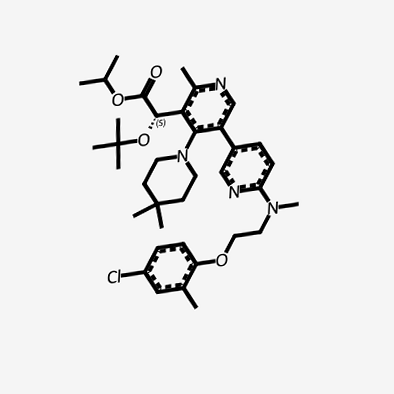 Cc1cc(Cl)ccc1OCCN(C)c1ccc(-c2cnc(C)c([C@H](OC(C)(C)C)C(=O)OC(C)C)c2N2CCC(C)(C)CC2)cn1